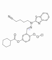 N#CCCCCN(/N=C/c1cc(OC(=O)C2CCCCC2)ccc1OOCl)c1nc2ccccc2s1